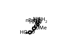 CCCC(N)Nc1nc(N)nc2cnn(Cc3ccc(Oc4ccc(CO)cc4)cc3OC)c12